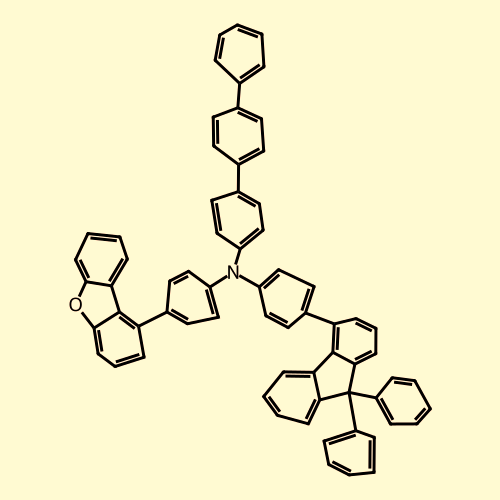 c1ccc(-c2ccc(-c3ccc(N(c4ccc(-c5cccc6c5-c5ccccc5C6(c5ccccc5)c5ccccc5)cc4)c4ccc(-c5cccc6oc7ccccc7c56)cc4)cc3)cc2)cc1